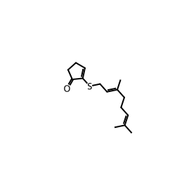 CC(C)=CCC/C(C)=C/CSC1=CCCC1=O